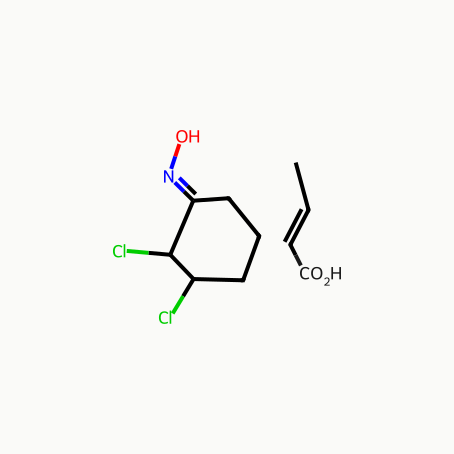 CC=CC(=O)O.ON=C1CCCC(Cl)C1Cl